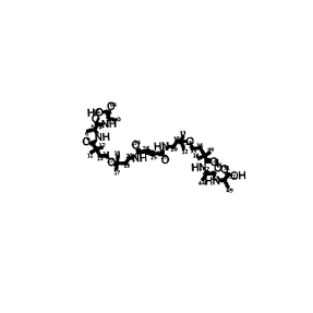 CC(NC(=O)C(C)NC(=O)C(C)(C)CCOC(C)(C)CCNC(=O)C#CC(=O)NCCC(C)(C)OCCC(C)(C)C(=O)NC(C)C(=O)NC(C)C(=O)O)C(=O)O